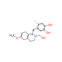 COC1=CCC2=C(CCN(CO)[C@@H]2Cc2cc(O)c(O)cc2F)C1